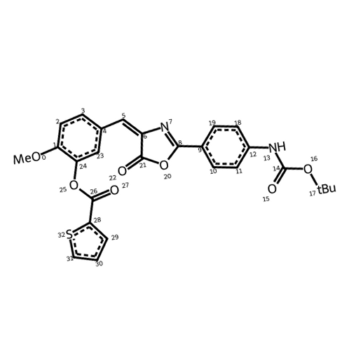 COc1ccc(/C=C2/N=C(c3ccc(NC(=O)OC(C)(C)C)cc3)OC2=O)cc1OC(=O)c1cccs1